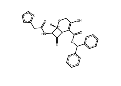 O=C(Cc1cccs1)NC1C(=O)N2C(C(=O)OC(c3ccccc3)c3ccccc3)=C(O)CS[C@@H]12